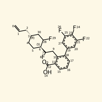 C=CC[C@H]1CC[C@H](C(F)Cc2c(C(=O)O)cccc2-c2cc(F)c(F)c(F)c2)C(F)C1